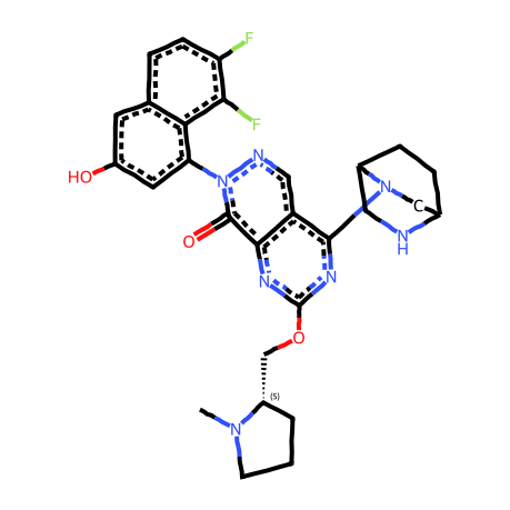 CN1CCC[C@H]1COc1nc(N2CC3CCC2CN3)c2cnn(-c3cc(O)cc4ccc(F)c(F)c34)c(=O)c2n1